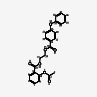 CC(=O)Oc1ccccc1C(=O)OC[CH]OC(=O)c1ccc(Oc2ccccc2)cc1